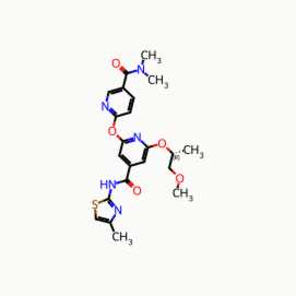 COC[C@@H](C)Oc1cc(C(=O)Nc2nc(C)cs2)cc(Oc2ccc(C(=O)N(C)C)cn2)n1